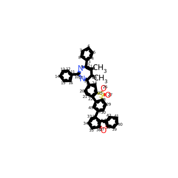 CC1=C(c2ccccc2)N=C(c2ccccc2)N=C(c2ccc3c(c2)S(=O)(=O)c2ccc(-c4cccc5oc6ccccc6c45)cc2-3)C1C